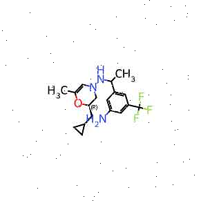 CC1=CN(NC(C)c2cc(N)cc(C(F)(F)F)c2)C[C@@H](CC2CC2)O1